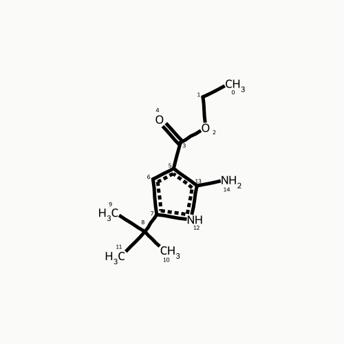 CCOC(=O)c1cc(C(C)(C)C)[nH]c1N